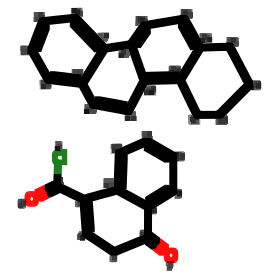 O=C(Cl)C1=CCC(=O)c2ccccc21.c1ccc2c(c1)ccc1c3c(ccc12)CCCC3